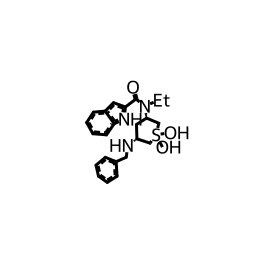 CCN(C(=O)c1cc2ccccc2[nH]1)[C@@H]1C[C@@H](NCc2ccccc2)CS(O)(O)C1